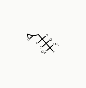 ClC(Cl)(Cl)C(Cl)(C(Cl)(Cl)Cl)C(Cl)(Cl)C(Cl)(Cl)CC1CO1